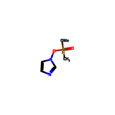 CO[SH](C)(=O)On1ccnc1